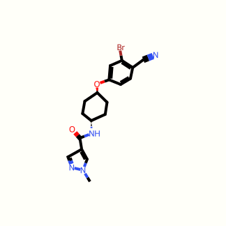 Cn1cc(C(=O)N[C@H]2CC[C@H](Oc3ccc(C#N)c(Br)c3)CC2)cn1